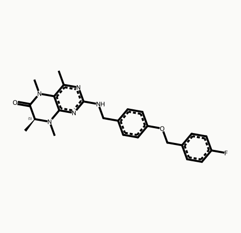 Cc1nc(NCc2ccc(OCc3ccc(F)cc3)cc2)nc2c1N(C)C(=O)[C@H](C)N2C